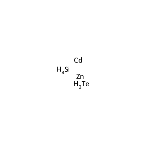 [Cd].[SiH4].[TeH2].[Zn]